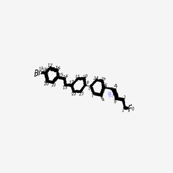 FCC/C=C/[C@H]1CC[C@H](C2CCC(CCc3ccc(Br)cc3)CC2)CC1